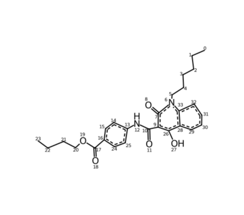 CCCCCCn1c(=O)c(C(=O)Nc2ccc(C(=O)OCCCC)cc2)c(O)c2ccccc21